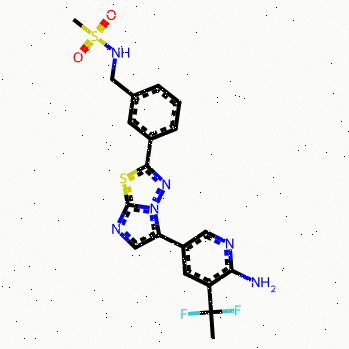 CC(F)(F)c1cc(-c2cnc3sc(-c4cccc(CNS(C)(=O)=O)c4)nn23)cnc1N